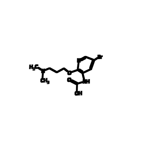 CN(C)CCCOc1ncc(Br)cc1NC(=O)O